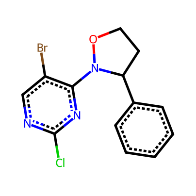 Clc1ncc(Br)c(N2OCCC2c2ccccc2)n1